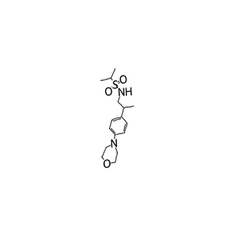 CC(CNS(=O)(=O)C(C)C)c1ccc(N2CCOCC2)cc1